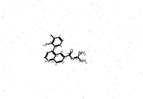 Cc1cccc(-c2ccnc3ccc(C(=O)N=C(N)N)cc23)c1F